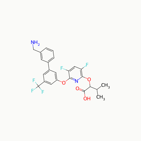 CC(C)C(Oc1nc(Oc2cc(-c3cccc(CN)c3)cc(C(F)(F)F)c2)c(F)cc1F)C(=O)O